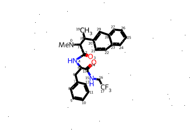 CNC(C(=O)NC(Cc1ccccc1)C(=O)NCC(F)(F)F)C(C)c1ccc2ccccc2c1